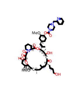 CO[C@H]1C[C@@H](C)C/C(C)=C/[C@@H](C/C=C/CO)C(=O)C[C@H](O)[C@@H](C)[C@@H](/C(C)=C/[C@@H]2CC[C@@H](OC(=O)N3CCN(Cc4ccccn4)CC3)[C@H](OC)C2)OC(=O)[C@@H]2CCCCN2C(=O)C(=O)[C@]2(O)O[C@H]1[C@@H](OC)C[C@H]2C